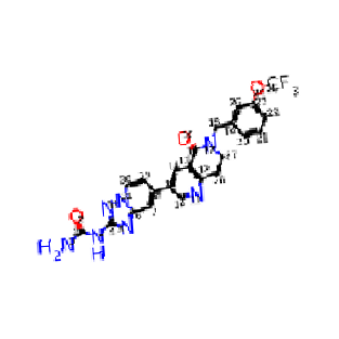 NC(=O)Nc1nc2cc(-c3cnc4c(c3)C(=O)N(Cc3cccc(OC(F)(F)F)c3)CC4)ccn2n1